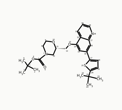 CC(C)(C)OC(=O)N1CCO[C@H](COc2cc(-c3ccc(C(C)(C)C)s3)cc3ncccc23)C1